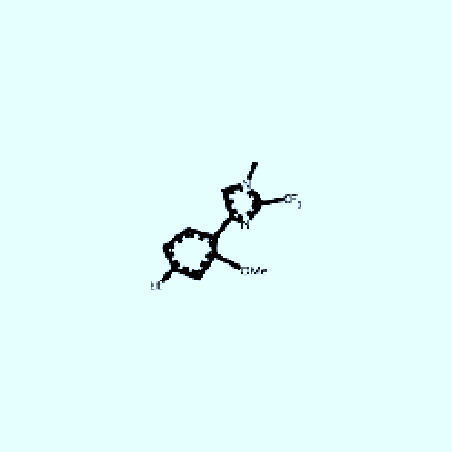 CCc1ccc(-c2cn(C)c(C(F)(F)F)n2)c(OC)c1